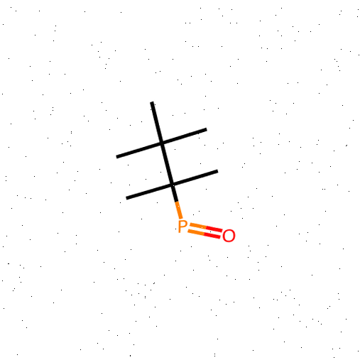 CC(C)(C)C(C)(C)P=O